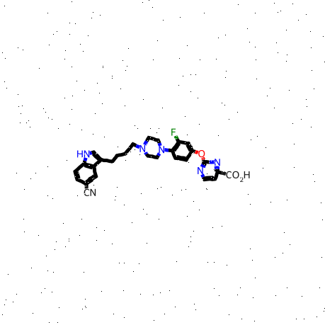 N#Cc1ccc2[nH]cc(CCCCN3CCN(c4ccc(Oc5nccc(C(=O)O)n5)cc4F)CC3)c2c1